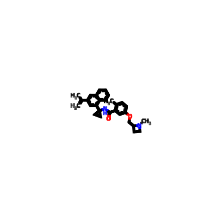 C=C(C)c1cc(C2(NC(=O)c3cc(OCC4CCN4C)ccc3C)CC2)c2ccccc2c1